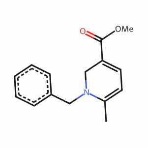 COC(=O)C1=CC=C(C)N(Cc2ccccc2)C1